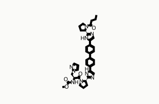 CCCC(=O)N1CCC[C@H]1c1ncc(-c2ccc(-c3ccc(-c4cnc([C@@H]5CCCN5C(=O)[C@H](Cn5cccn5)NC(=O)OC)[nH]4)cc3)cc2)[nH]1